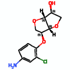 Nc1ccc(O[C@H]2CO[C@H]3[C@@H]2OC[C@@H]3O)c(Cl)c1